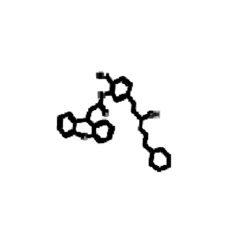 CC(C)(C)c1ccc(CCC(O)CCCC2CCCCC2)cc1NC(=O)CC1c2ccccc2Oc2ccccc21